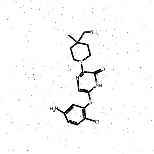 CC1(CN)CCN(c2ncc(Sc3cc(N)ccc3Cl)[nH]c2=O)CC1